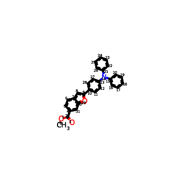 COC(=O)c1ccc2cc(-c3ccc(N(c4ccccc4)c4ccccc4)cc3)oc2c1